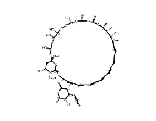 COC12C[C@@H](O)C[C@@H](O)[C@H](O)CC[C@@H](O)C[C@@H](O)CC(=O)O[C@@H](C)[C@H](C)[C@H](O)[C@@H](C)/C=C/C=C/C=C/C=C/C=C/C=C/C=C/[C@H](OC3O[C@H](C)[C@@H](O)[C@H](N=[N+]=[N-])[C@H]3O)C[C@H](O1)[C@H](C(=O)O)[C@@H](O)C2